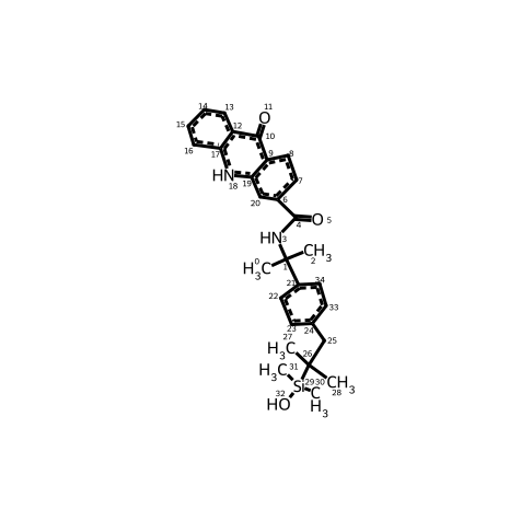 CC(C)(NC(=O)c1ccc2c(=O)c3ccccc3[nH]c2c1)c1ccc(CC(C)(C)[Si](C)(C)O)cc1